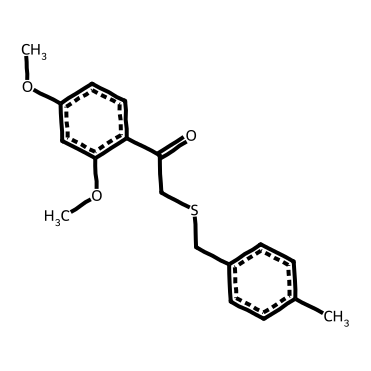 COc1ccc(C(=O)CSCc2ccc(C)cc2)c(OC)c1